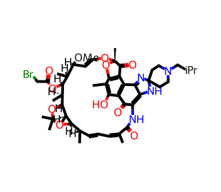 CO[C@H]1/C=C/O[C@@]2(C)Oc3c(C)c(O)c4c(c3C2=O)C2=NC3(CCN(CC(C)C)CC3)NC2=C(NC(=O)/C(C)=C\C=C\[C@H](C)[C@@H]2OC(C)(C)O[C@@H]([C@@H](C)[C@H](OC(=O)CBr)[C@@H]1C)[C@@H]2C)C4=O